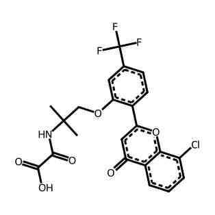 CC(C)(COc1cc(C(F)(F)F)ccc1-c1cc(=O)c2cccc(Cl)c2o1)NC(=O)C(=O)O